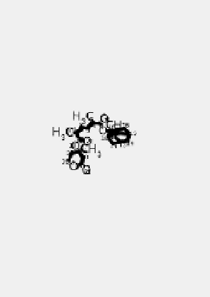 CC(=CC=C(C)C(=O)OC1(C)C2CC3CC(C2)CC1C3)C(=O)OC1(C)CCOC(=O)C1